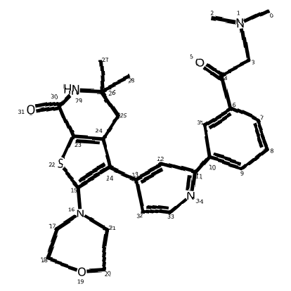 CN(C)CC(=O)c1cccc(-c2cc(-c3c(N4CCOCC4)sc4c3CC(C)(C)NC4=O)ccn2)c1